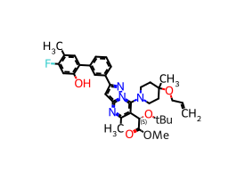 C=CCOC1(C)CCN(c2c([C@H](OC(C)(C)C)C(=O)OC)c(C)nc3cc(-c4cccc(-c5cc(C)c(F)cc5O)c4)nn23)CC1